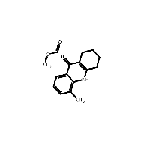 COC=O.Cc1cccc2c(=O)c3c([nH]c12)CCCC3